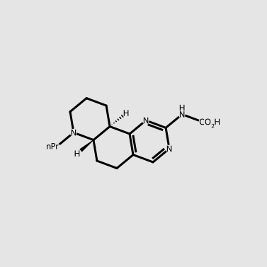 CCCN1CCC[C@H]2c3nc(NC(=O)O)ncc3CC[C@@H]21